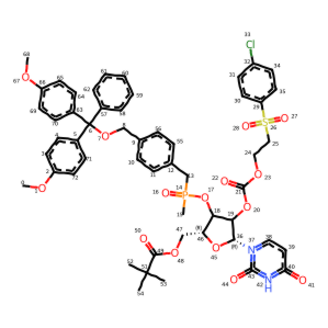 COc1ccc(C(OCc2ccc(CP(C)(=O)OC3C(OC(=O)OCCS(=O)(=O)c4ccc(Cl)cc4)[C@H](n4ccc(=O)[nH]c4=O)O[C@@H]3COC(=O)C(C)(C)C)cc2)(c2ccccc2)c2ccc(OC)cc2)cc1